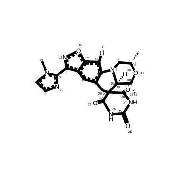 C[C@H]1CN2c3c(cc4c(-c5nccn5C)noc4c3Cl)CC3(C(=O)NC(=O)NC3=O)[C@@H]2[C@@H](C)O1